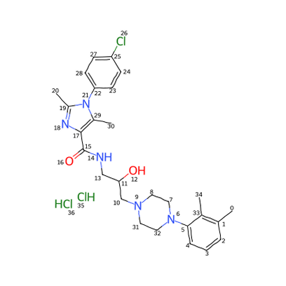 Cc1cccc(N2CCN(CC(O)CNC(=O)c3nc(C)n(-c4ccc(Cl)cc4)c3C)CC2)c1C.Cl.Cl